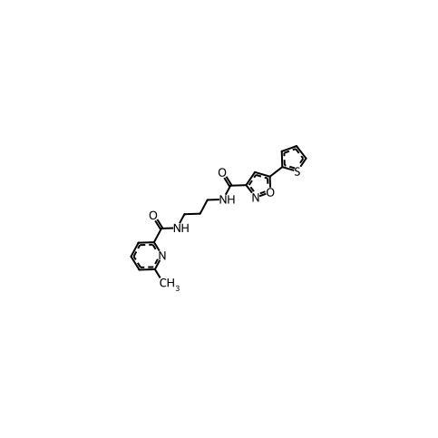 Cc1cccc(C(=O)NCCCNC(=O)c2cc(-c3cccs3)on2)n1